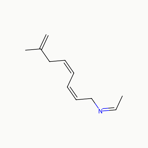 C=C(C)C/C=C\C=C/C/N=C\C